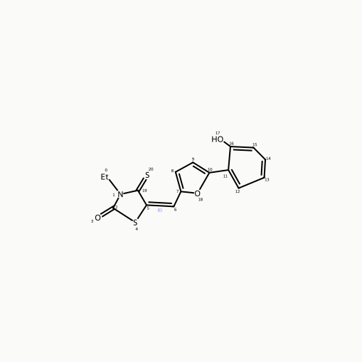 CCN1C(=O)S/C(=C/c2ccc(-c3ccccc3O)o2)C1=S